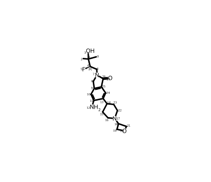 CC(C)(O)[C@H](F)CN1Cc2cc(N)c(C3CCN(C4COC4)CC3)cc2C1=O